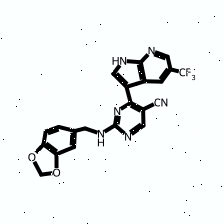 N#Cc1cnc(NCc2ccc3c(c2)OCO3)nc1-c1c[nH]c2ncc(C(F)(F)F)cc12